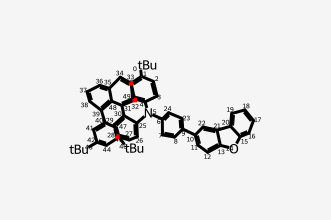 CC(C)(C)c1ccc(N(c2ccc(-c3ccc4oc5ccccc5c4c3)cc2)c2ccccc2-c2cccc3cccc(-c4cc(C(C)(C)C)cc(C(C)(C)C)c4)c23)cc1